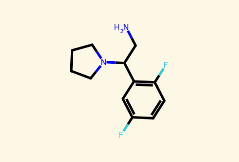 NCC(c1cc(F)ccc1F)N1CCCC1